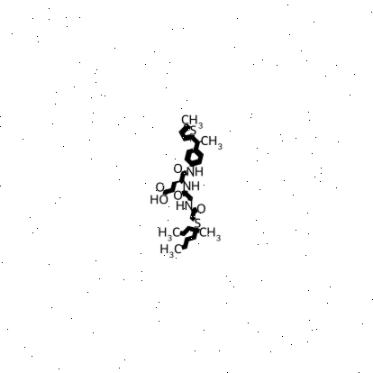 CCCCC(C)(CCC)SCC(=O)NCC(=O)N[C@@H](CCC(=O)O)C(=O)Nc1ccc([C@@H](C)c2ccc(C)s2)cc1